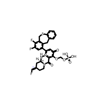 O=C1c2c(OCOP(=O)(O)O)c(=O)cc(-c3cc(F)c(F)c4c3Cc3ccccc3SC4)n2N[C@@H]2C/C(=C/F)CCN12